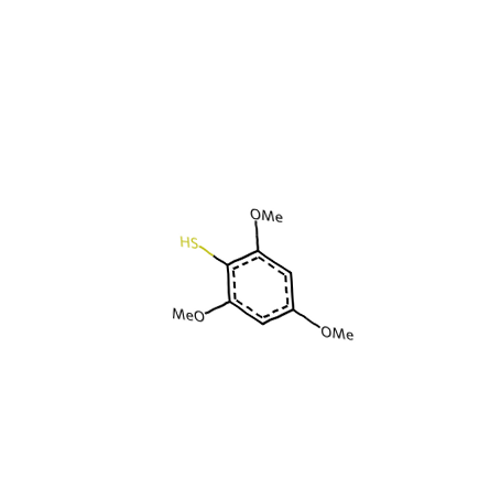 COc1cc(OC)c(S)c(OC)c1